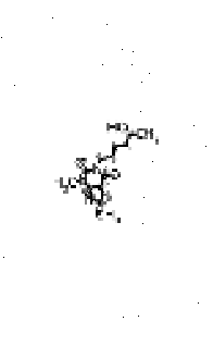 CC(O)CCCCn1c(=O)c2nn(C)nc2n(C)c1=O